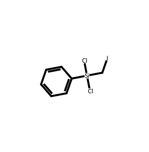 Cl[Si](Cl)(CI)c1ccccc1